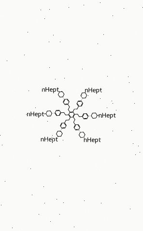 CCCCCCC[C@H]1CC[C@H](c2ccc(CCc3c(CCc4ccc([C@H]5CC[C@H](CCCCCCC)CC5)cc4)c(CCc4ccc([C@H]5CC[C@H](CCCCCCC)CC5)cc4)c(CCc4ccc([C@H]5CC[C@H](CCCCCCC)CC5)cc4)c(CCc4ccc([C@H]5CC[C@H](CCCCCCC)CC5)cc4)c3CCc3ccc([C@H]4CC[C@H](CCCCCCC)CC4)cc3)cc2)CC1